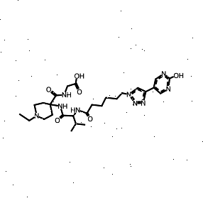 CCN1CCC(NC(=O)[C@@H](NC(=O)CCCCCn2cc(-c3cnc(O)nc3)nn2)C(C)C)(C(=O)NCC(=O)O)CC1